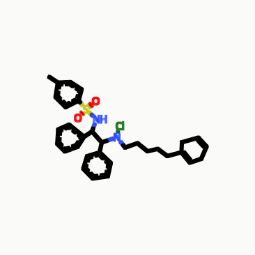 Cc1ccc(S(=O)(=O)NC(c2ccccc2)C(c2ccccc2)N(Cl)CCCCCC2=CCC=CC2)cc1